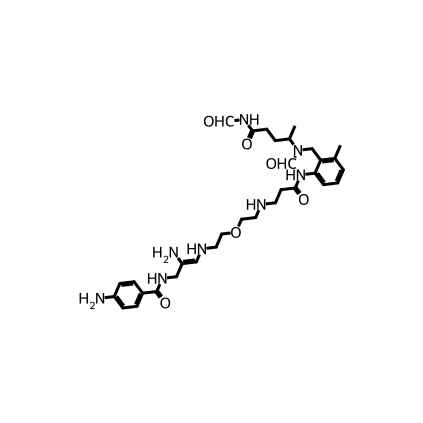 Cc1cccc(NC(=O)CCNCCOCCN/C=C(\N)CNC(=O)c2ccc(N)cc2)c1CN(C=O)C(C)CCC(=O)NC=O